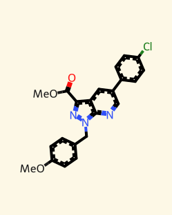 COC(=O)c1nn(Cc2ccc(OC)cc2)c2ncc(-c3ccc(Cl)cc3)cc12